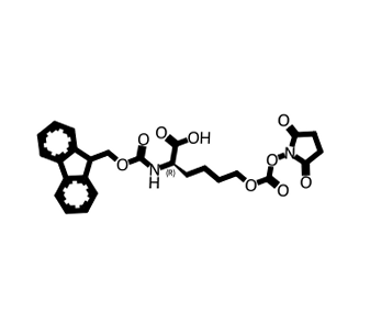 O=C(N[C@H](CCCCOC(=O)ON1C(=O)CCC1=O)C(=O)O)OCC1c2ccccc2-c2ccccc21